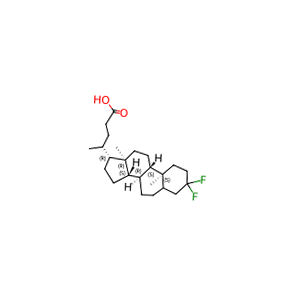 CC(CCC(=O)O)[C@H]1CC[C@H]2[C@@H]3CCC4CC(F)(F)CC[C@]4(C)[C@H]3CC[C@]12C